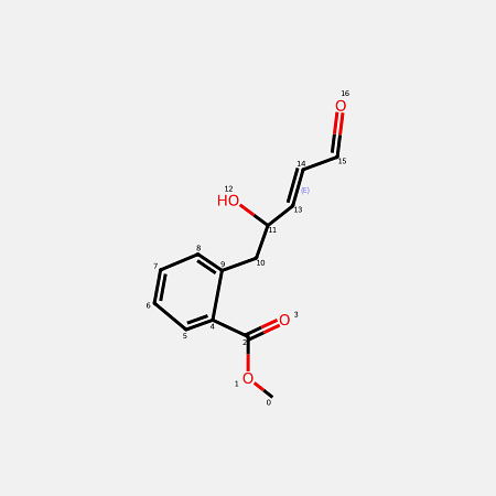 COC(=O)c1ccccc1CC(O)/C=C/C=O